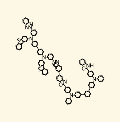 c1ccc(N(c2ccc(-c3cccc(-c4ccc(N(c5ccccc5)c5ccc(C6Nc7ccccc7O6)cc5)cc4)c3)cc2)c2ccc(-c3nc4cc(-c5ccc6nn(-c7cccc(N(c8ccc(-c9ccc(N(c%10cccc(-n%11nc%12ccccc%12n%11)c%10)c%10ccc%11sc%12ccccc%12c%11c%10)cc9)cc8)c8ccc9sc%10ccccc%10c9c8)c7)nc6c5)ccc4o3)cc2)cc1